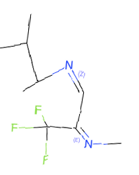 C/N=C(\C=N/C(C)C(C)C)C(F)(F)F